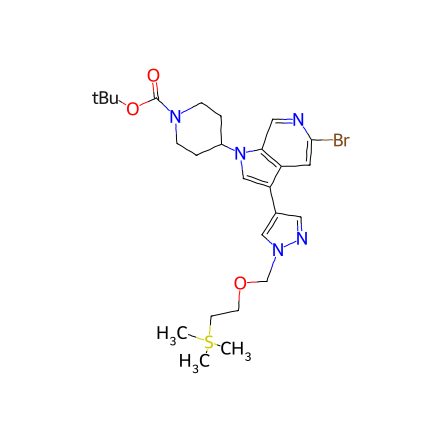 CC(C)(C)OC(=O)N1CCC(n2cc(-c3cnn(COCCS(C)(C)C)c3)c3cc(Br)ncc32)CC1